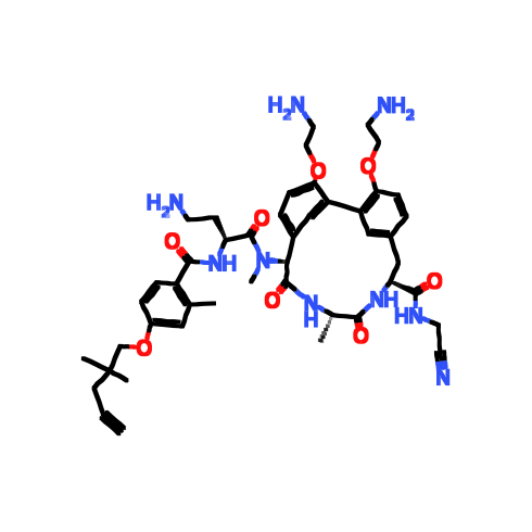 C#CCC(C)(C)COc1ccc(C(=O)N[C@@H](CCN)C(=O)N(C)[C@@H]2C(=O)N[C@@H](C)C(=O)N[C@H](C(=O)NCC#N)Cc3ccc(OCCN)c(c3)-c3cc2ccc3OCCN)c(C)c1